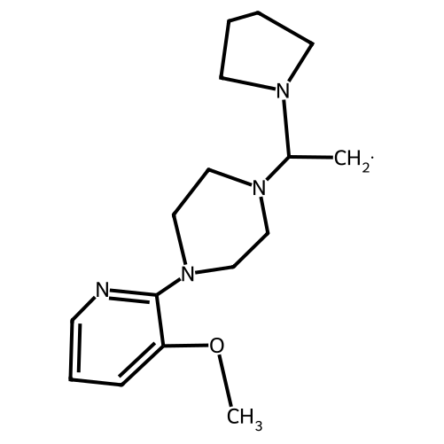 [CH2]C(N1CCCC1)N1CCN(c2ncccc2OC)CC1